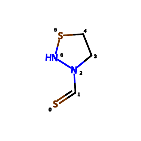 S=CN1CCSN1